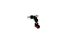 CCCC(c1nc2cc(N3CCC(c4ccccc4)(N(C)C)CC3)ccc2n1C)N1C[C@@H](C)N[C@@H](C)C1